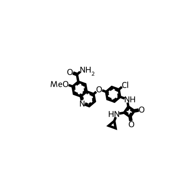 COc1cc2nccc(Oc3ccc(Nc4c(NC5CC5)c(=O)c4=O)c(Cl)c3)c2cc1C(N)=O